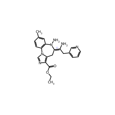 CCOC(=O)c1ncn2c1C/C(=C(/N)Cc1cccnc1)N(N)c1cc(C)ccc1-2